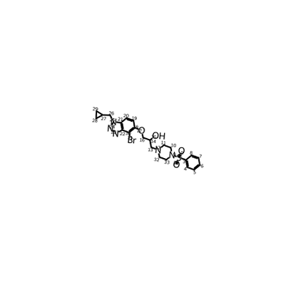 O=S(=O)(c1ccccc1)N1CCN(CC(O)COc2ccc3c(nnn3CC3CC3)c2Br)CC1